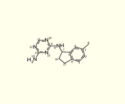 Cc1ccc2c(c1)C(Nc1ncnc(N)n1)CC2